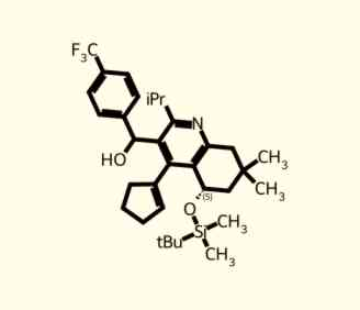 CC(C)c1nc2c(c(C3=CCCC3)c1C(O)c1ccc(C(F)(F)F)cc1)[C@@H](O[Si](C)(C)C(C)(C)C)CC(C)(C)C2